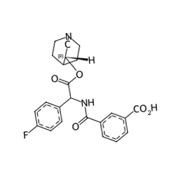 O=C(O)c1cccc(C(=O)NC(C(=O)O[C@H]2CN3CCC2CC3)c2ccc(F)cc2)c1